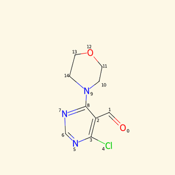 O=Cc1c(Cl)ncnc1N1CCOCC1